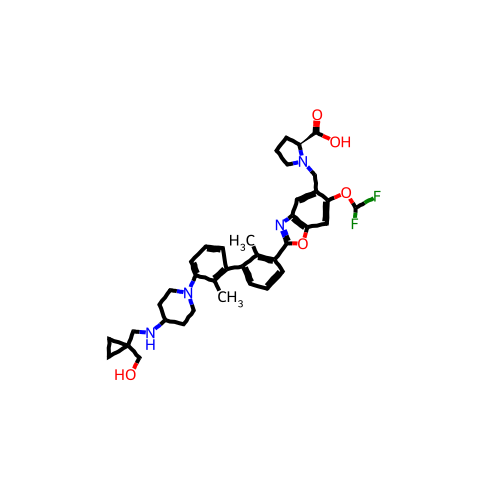 Cc1c(-c2nc3cc(CN4CCC[C@H]4C(=O)O)c(OC(F)F)cc3o2)cccc1-c1cccc(N2CCC(NCC3(CO)CC3)CC2)c1C